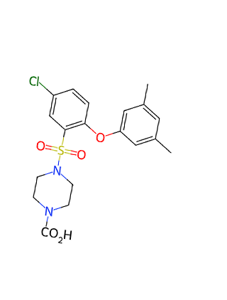 Cc1cc(C)cc(Oc2ccc(Cl)cc2S(=O)(=O)N2CCN(C(=O)O)CC2)c1